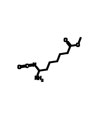 COC(=O)CCCCCC(N)N=C=O